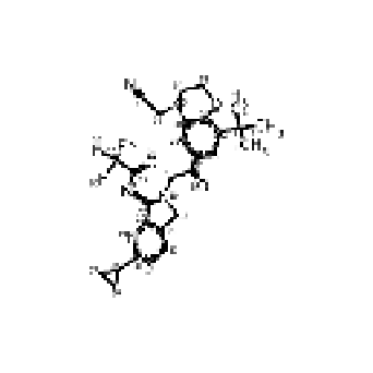 CC(C)(C)c1cc(C(=O)CN2Cc3ccc(C4CC4)nc3/C2=N/C(=O)C(F)(F)F)cc2c1OCCN2CC#N